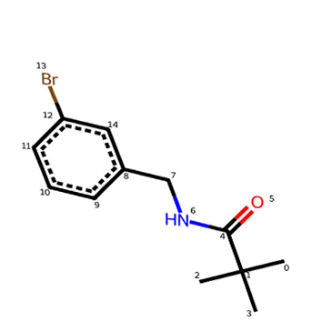 CC(C)(C)C(=O)NCc1cccc(Br)c1